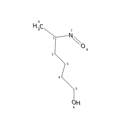 CC(CCCCO)N=O